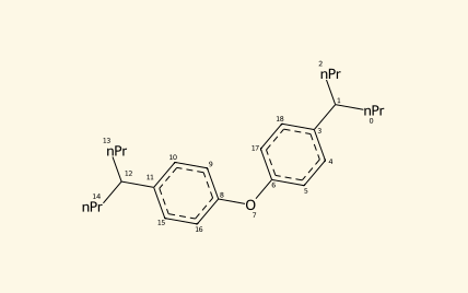 CCCC(CCC)c1ccc(Oc2ccc(C(CCC)CCC)cc2)cc1